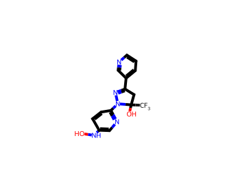 ONc1ccc(N2N=C(c3cccnc3)CC2(O)C(F)(F)F)nc1